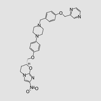 O=[N+]([O-])c1cn2c(n1)O[C@@H](COc1ccc(N3CCN(Cc4ccc(OCc5cnccn5)cc4)CC3)cc1)CC2